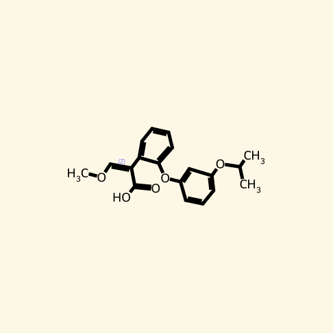 CO/C=C(\C(=O)O)c1ccccc1Oc1cccc(OC(C)C)c1